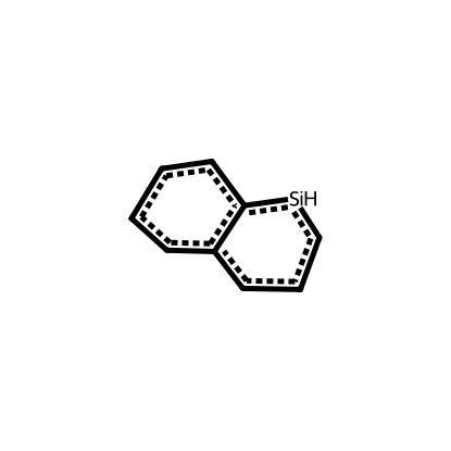 c1ccc2[siH]cccc2c1